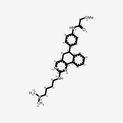 COCC(=O)Nc1ccc(C2Cc3cnc(NCCCCN(C)C)nc3-c3ccccc32)cc1